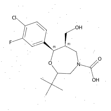 CC(C)(C)C1CN(C(=O)O)C[C@H](CO)[C@H](c2ccc(Cl)c(F)c2)O1